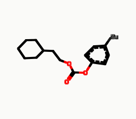 CCC(C)c1ccc(OC(=O)OCCC2CCCCC2)cc1